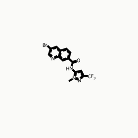 Cn1nc(C(F)(F)F)cc1NC(=O)c1ccc2cc(Br)cnc2c1